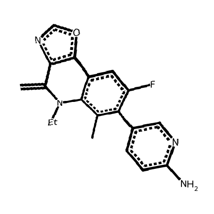 C=C1c2ncoc2-c2cc(F)c(-c3ccc(N)nc3)c(C)c2N1CC